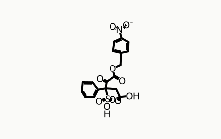 O=C(O)CC(C(=O)C(=O)OCc1ccc([N+](=O)[O-])cc1)(c1ccccc1)S(=O)(=O)O